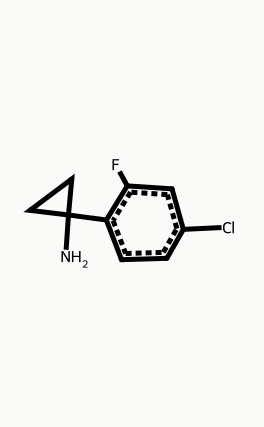 NC1(c2ccc(Cl)cc2F)CC1